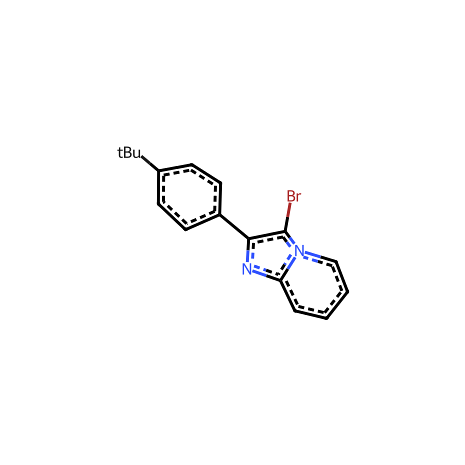 CC(C)(C)c1ccc(-c2nc3ccccn3c2Br)cc1